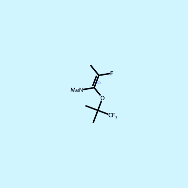 CN/C(OC(C)(C)C(F)(F)F)=C(\C)F